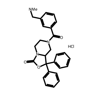 CNCc1cccc(C(=O)N2CCN3C(=O)OC(c4ccccc4)(c4ccccc4)C3C2)c1.Cl